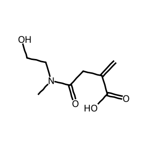 C=C(CC(=O)N(C)CCO)C(=O)O